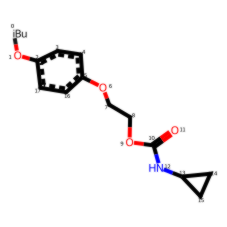 CCC(C)Oc1ccc(OCCOC(=O)NC2CC2)cc1